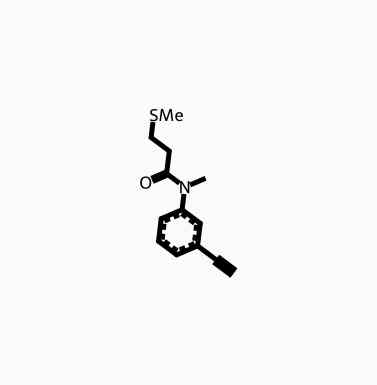 C#Cc1cccc(N(C)C(=O)CCSC)c1